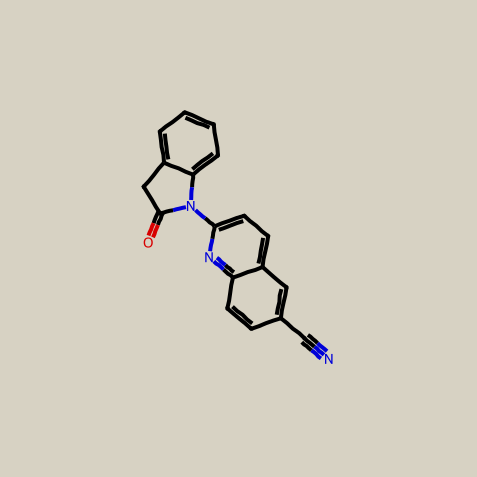 N#Cc1ccc2nc(N3C(=O)Cc4ccccc43)ccc2c1